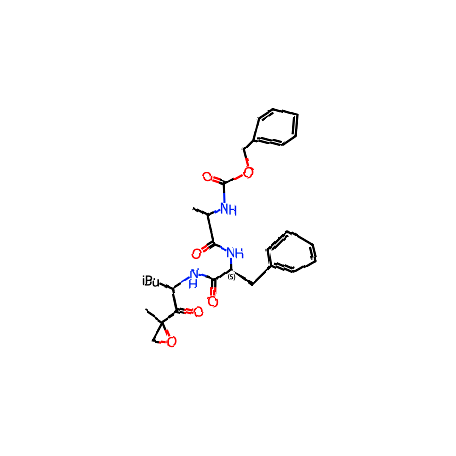 CCC(C)C(NC(=O)[C@H](Cc1ccccc1)NC(=O)C(C)NC(=O)OCc1ccccc1)C(=O)C1(C)CO1